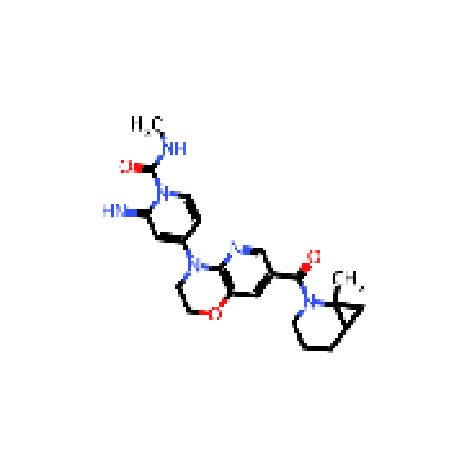 CNC(=O)n1ccc(N2CCOc3cc(C(=O)N4CCCC5CC54C)cnc32)cc1=N